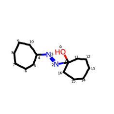 OC1(N=NC2CCCCCC2)CCCCCC1